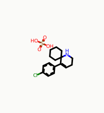 Clc1ccc(C2=CCCNC23CCCCC3)cc1.O=S(=O)(O)O